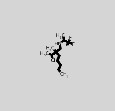 CCCCCC(C)(CNC(C)C(F)(F)F)C(C)C